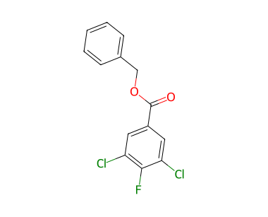 O=C(OCc1ccccc1)c1cc(Cl)c(F)c(Cl)c1